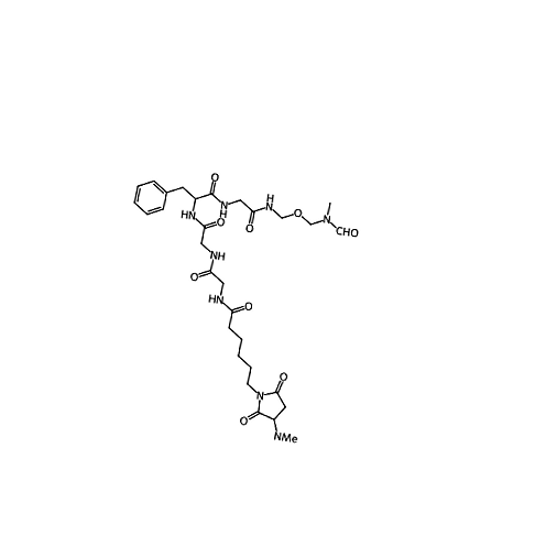 CNC1CC(=O)N(CCCCCC(=O)NCC(=O)NCC(=O)NC(Cc2ccccc2)C(=O)NCC(=O)NCOCN(C)C=O)C1=O